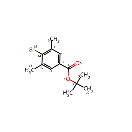 Cc1cc(C(=O)OC(C)(C)C)cc(C)c1Br